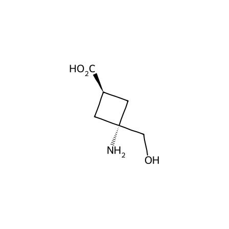 N[C@]1(CO)C[C@@H](C(=O)O)C1